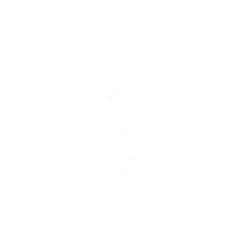 CC(C)C(=O)n1ncc2c1CCc1sc(Nc3ccccn3)nc1-2